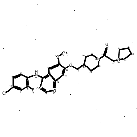 COc1cc2c(Nc3ccc(Cl)cc3F)ncnc2cc1OCC1CCN(C(=O)CN2CCCC2)CC1